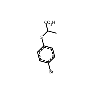 CC(Sc1ccc(Br)cc1)C(=O)O